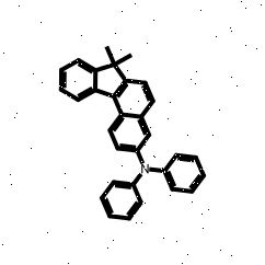 CC1(C)c2ccccc2-c2c1ccc1cc(N(c3ccccc3)c3ccccc3)ccc21